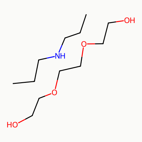 CCCNCCC.OCCOCCOCCO